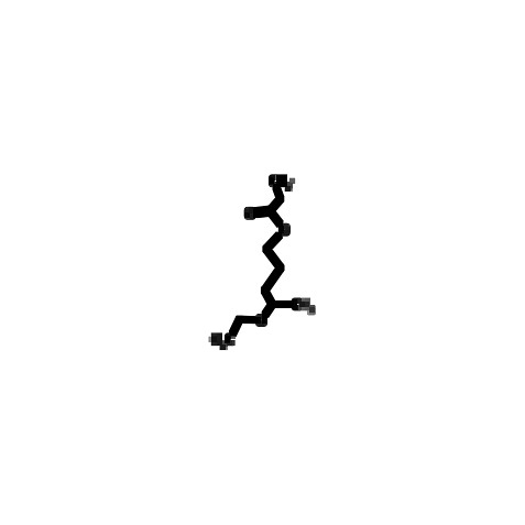 [CH2]COC(C)CCCOC(=O)C[CH2]